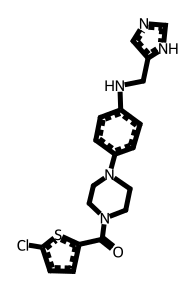 O=C(c1ccc(Cl)s1)N1CCN(c2ccc(NCc3cnc[nH]3)cc2)CC1